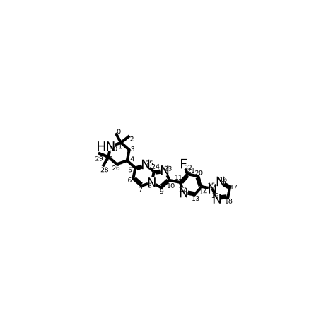 CC1(C)CC(c2ccn3cc(-c4ncc(-n5nccn5)cc4F)nc3n2)CC(C)(C)N1